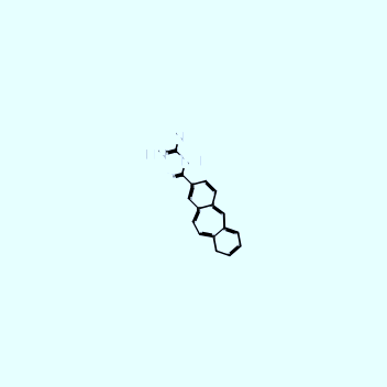 N=C(N)NC(=O)c1ccc2c(c1)=CC=C1CC=CC=C1C=2